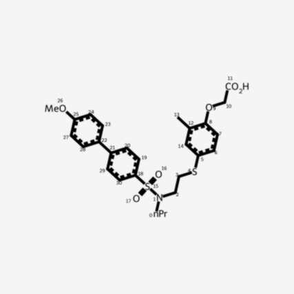 CCCN(CCSc1ccc(OCC(=O)O)c(C)c1)S(=O)(=O)c1ccc(-c2ccc(OC)cc2)cc1